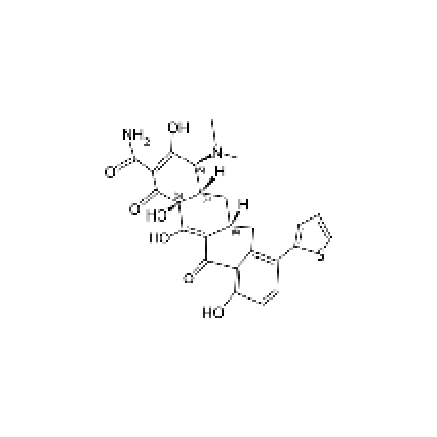 CN(C)[C@@H]1C(O)=C(C(N)=O)C(=O)[C@@]2(O)C(O)=C3C(=O)c4c(O)ccc(-c5cccs5)c4C[C@H]3C[C@@H]12